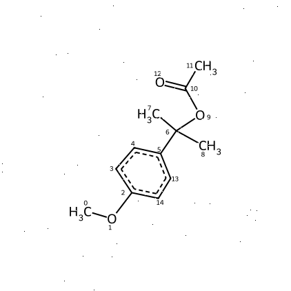 COc1ccc(C(C)(C)OC(C)=O)cc1